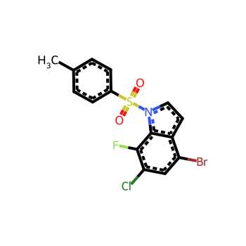 Cc1ccc(S(=O)(=O)n2ccc3c(Br)cc(Cl)c(F)c32)cc1